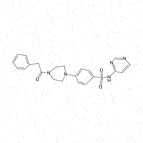 O=C(Cc1ccccc1)N1CCN(c2ccc(S(=O)(=O)Nc3ccncn3)cc2)CC1